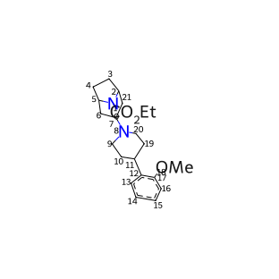 CCOC(=O)N1C2CCC1CC(N1CCC(c3ccccc3OC)CC1)C2